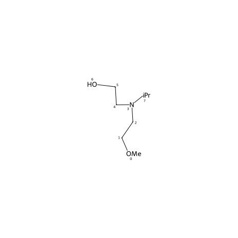 COCCN(CCO)C(C)C